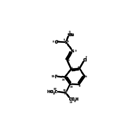 CC(C)(C)[S+]([O-])/N=C/c1c(Cl)ccc(N(C(=O)O)C(=O)O)c1F